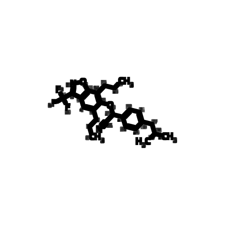 CCCc1cc2c(C(F)(F)F)noc2c(CCC)c1OC(C#N)c1ccc(CC(C)C)cc1